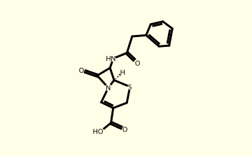 O=C(Cc1ccccc1)NC1C(=O)N2C=C(C(=O)O)CS[C@H]12